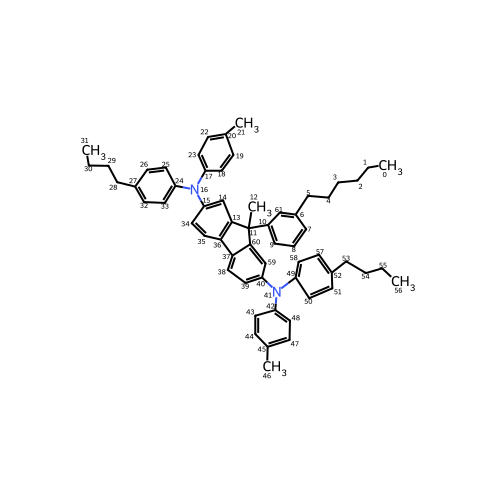 CCCCCCc1cccc(C2(C)c3cc(N(c4ccc(C)cc4)c4ccc(CCCC)cc4)ccc3-c3ccc(N(c4ccc(C)cc4)c4ccc(CCCC)cc4)cc32)c1